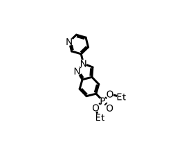 CCOP(=O)(OCC)c1ccc2nn(-c3cccnc3)cc2c1